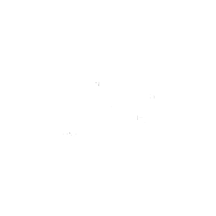 CCCC(N)COc1noc2ccc(OC)cc12